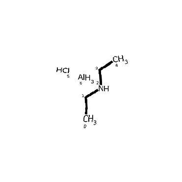 CCNCC.Cl.[AlH3]